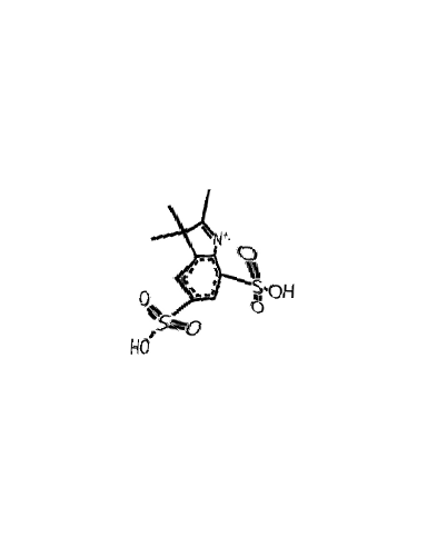 CC1=[N+]c2c(cc(S(=O)(=O)O)cc2S(=O)(=O)O)C1(C)C